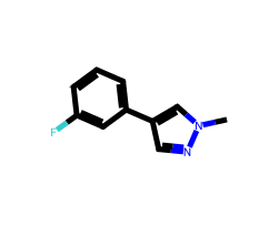 Cn1cc(-c2cc[c]c(F)c2)cn1